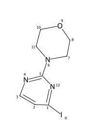 Ic1ccnc(N2CCOCC2)n1